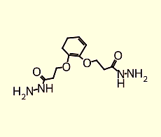 NNC(=O)CCOC1=C(OCCC(=O)NN)CCC=C1